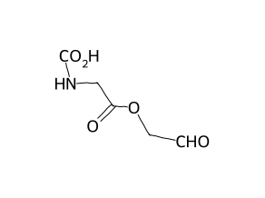 O=CCOC(=O)CNC(=O)O